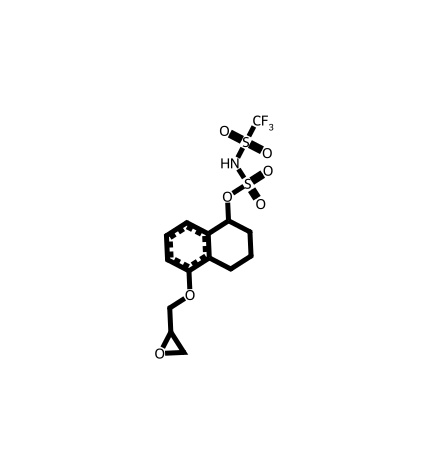 O=S(=O)(NS(=O)(=O)C(F)(F)F)OC1CCCc2c(OCC3CO3)cccc21